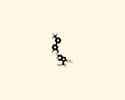 CC1Cc2cc(OCc3cc(-c4cccc(C(F)(F)F)c4)ccc3F)ncc2C1C(=O)O